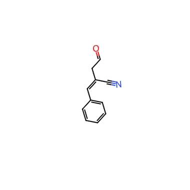 N#CC(=Cc1ccccc1)CC=O